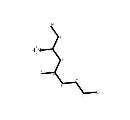 CCCCC(C)CC(N)CC